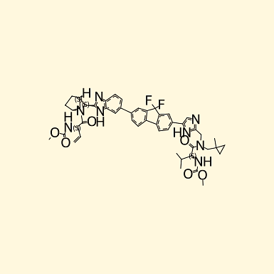 C=C[C@H](NC(=O)OC)C(=O)N1C2CC[C@@H](C2)[C@H]1c1nc2ccc(-c3ccc4c(c3)C(F)(F)c3cc(-c5cnc(CN(CC6(C)CC6)C(=O)[C@@H](NC(=O)OC)C(C)C)[nH]5)ccc3-4)cc2[nH]1